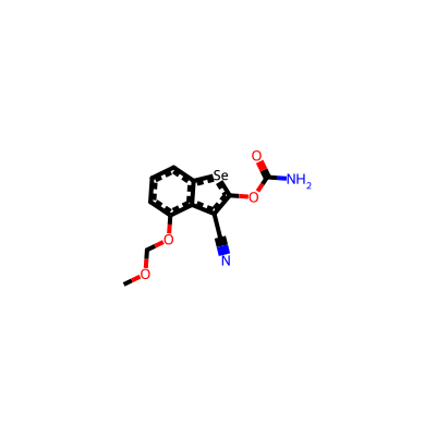 COCOc1cccc2[se]c(OC(N)=O)c(C#N)c12